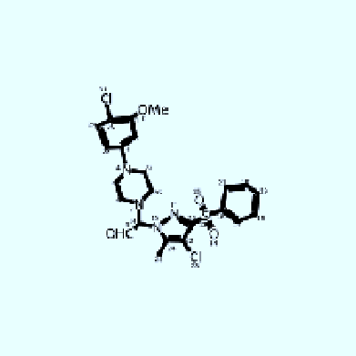 COc1cc(N2CCN(C(C=O)n3nc(S(=O)(=O)c4ccccc4)c(Cl)c3C)CC2)ccc1Cl